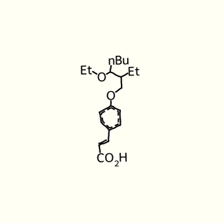 CCCCC(OCC)C(CC)COc1ccc(C=CC(=O)O)cc1